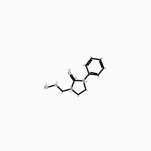 CCOCN1CCN(c2ccccc2)C1=O